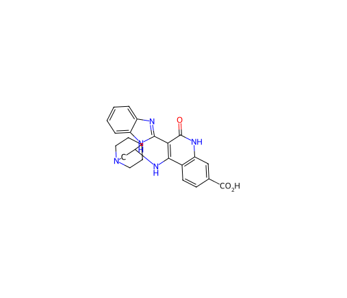 O=C(O)c1ccc2c(NC3CN4CCC3CC4)c(-c3nc4ccccc4[nH]3)c(=O)[nH]c2c1